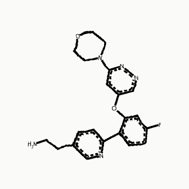 NCCc1ccc(-c2ccc(F)cc2Oc2cnnc(N3CCOCC3)c2)nc1